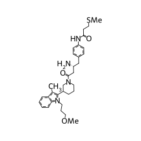 COCCCn1c(C2CCCN(C(=O)C[C@H](N)Cc3ccc(NC(=O)CCSC)cc3)C2)c(C)c2ccccc21